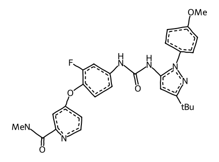 CNC(=O)c1cc(Oc2ccc(NC(=O)Nc3cc(C(C)(C)C)nn3-c3ccc(OC)cc3)cc2F)ccn1